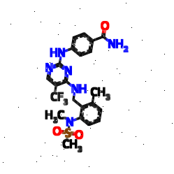 Cc1cccc(N(C)S(C)(=O)=O)c1CNc1nc(Nc2ccc(C(N)=O)cc2)ncc1C(F)(F)F